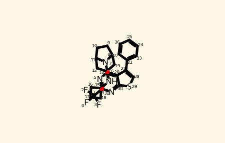 FC(F)(F)c1nc(N2C3CCC2CC(NC2CCC2)C3)c2c(-c3ccccc3)csc2n1